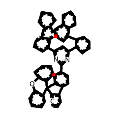 c1ccc2c(c1)Oc1ccccc1C21c2ccccc2-c2ccc(-c3nc(-c4ccccc4-c4cccc5ccccc45)cc(-c4cccc5c4sc4ccccc45)n3)cc21